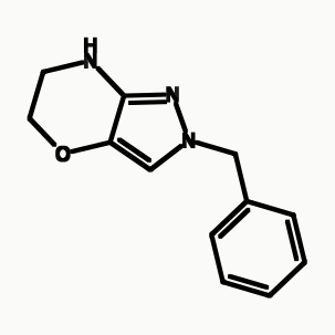 c1ccc(Cn2cc3c(n2)NCCO3)cc1